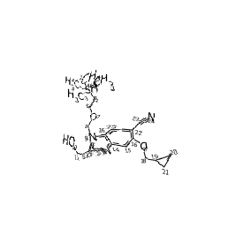 C[SH](C)(C)(C)CCOCn1c(CO)nc2cc(OCC3CC3)c(C#N)cc21